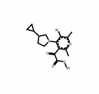 Cc1nc(C)c(C(=O)C(=O)OC(C)C)c(N2CCC(C3CC3)C2)c1Br